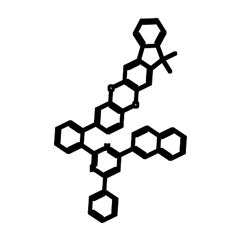 CC1(C)c2ccccc2-c2cc3c(cc21)Oc1ccc(-c2ccccc2-c2nc(-c4ccccc4)cc(-c4ccc5ccccc5c4)n2)cc1O3